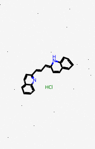 C(=Cc1ccc2ccccc2n1)C=C1C=Cc2ccccc2N1.Cl